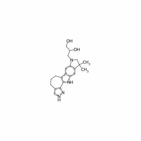 CC1(C)CN(CC(O)CO)c2cc3c4c([nH]c3cc21)-c1n[nH]cc1CCC4